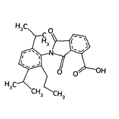 CCCc1c(C(C)C)ccc(C(C)C)c1N1C(=O)c2cccc(C(=O)O)c2C1=O